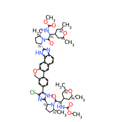 COC(=O)N[C@H](C(=O)N1[C@@H](C)CC[C@H]1c1nc(Cl)c(-c2ccc3c(c2)COc2cc4c(ccc5nc([C@@H]6CC[C@H](C)N6C(=O)[C@@H](NC(=O)OC)C6C[C@@H](C)O[C@H](C)C6)[nH]c54)cc2-3)[nH]1)C1C[C@@H](C)O[C@H](C)C1